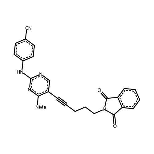 CNc1nc(Nc2ccc(C#N)cc2)ncc1C#CCCCN1C(=O)c2ccccc2C1=O